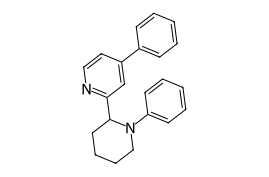 c1ccc(-c2ccnc(C3CCCCN3c3ccccc3)c2)cc1